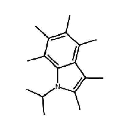 Cc1c(C)c(C)c2c(c1C)c(C)c(C)n2C(C)C